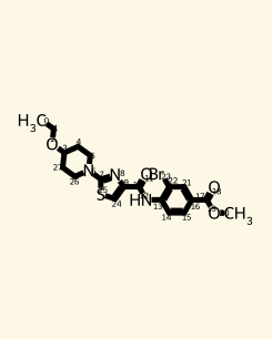 CCOC1CCN(c2nc(C(=O)Nc3ccc(C(=O)OC)cc3Br)cs2)CC1